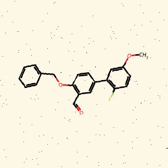 COc1ccc(F)c(-c2ccc(OCc3ccccc3)c(C=O)c2)c1